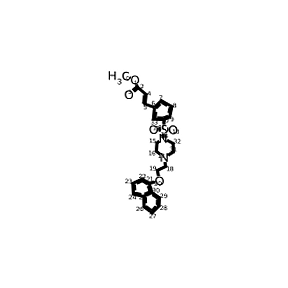 COC(=O)C=Cc1cccc(S(=O)(=O)N2CCN(CCOc3cccc4ccccc34)CC2)c1